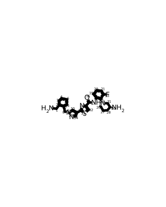 NCc1ccccc1Cn1cc(-c2nc(C(=O)Nc3cccc(F)c3N3CCC[C@@H](N)C3)cs2)cn1